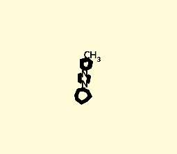 Cc1ccc(N2CCN(C3CCCCCCC3)CC2)cc1